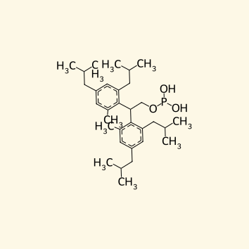 Cc1cc(CC(C)C)cc(CC(C)C)c1C(COP(O)O)c1c(C)cc(CC(C)C)cc1CC(C)C